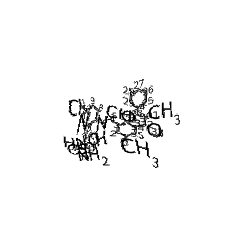 Cc1cc(C(C)Nc2ccc(Cl)nc2C(=O)NS(N)(=O)=O)c2oc(-c3ccccc3)c(C)c(=O)c2c1